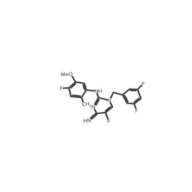 COc1cc(Nc2nc(=N)c(F)cn2Cc2cc(F)cc(F)c2)c(C)cc1F